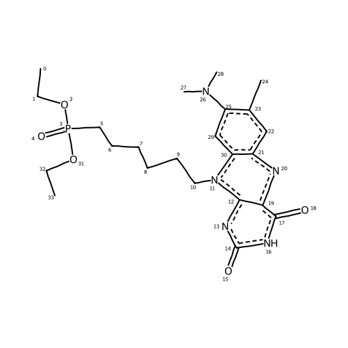 CCOP(=O)(CCCCCCn1c2nc(=O)[nH]c(=O)c-2nc2cc(C)c(N(C)C)cc21)OCC